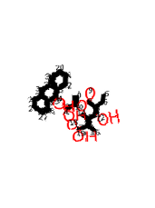 C=CC(=O)O.CCC(C(=O)O)=C(O)C(C)=C(C)C(=O)O.c1ccc2cc3ccccc3cc2c1